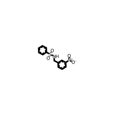 O=[N+]([O-])c1cccc(CNS(=O)(=O)c2ccccc2)c1